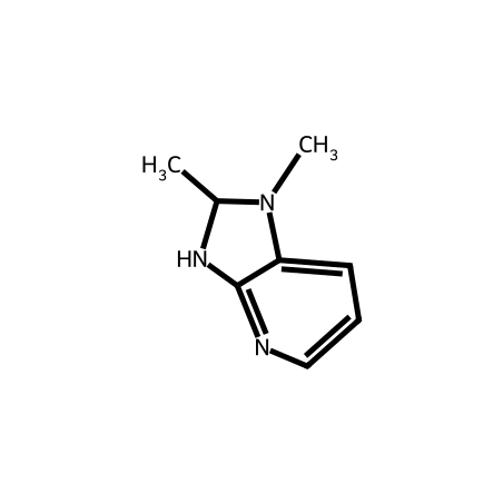 CC1Nc2ncccc2N1C